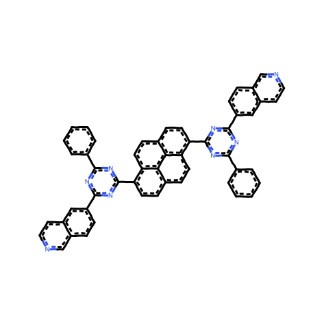 c1ccc(-c2nc(-c3ccc4cnccc4c3)nc(-c3ccc4ccc5c(-c6nc(-c7ccccc7)nc(-c7ccc8cnccc8c7)n6)ccc6ccc3c4c65)n2)cc1